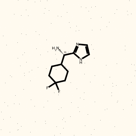 N[C@H](c1ncc[nH]1)C1CCC(F)(F)CC1